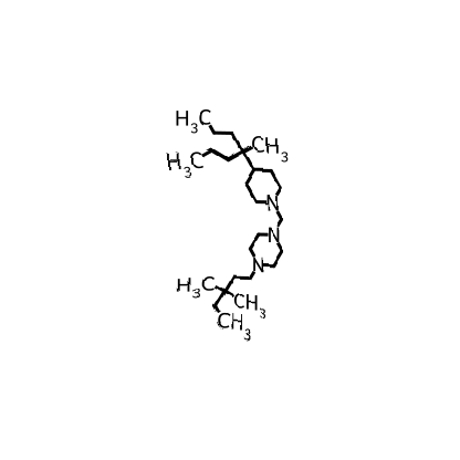 CCCC(C)(CCC)C1CCN(CN2CCN(CCC(C)(C)CC)CC2)CC1